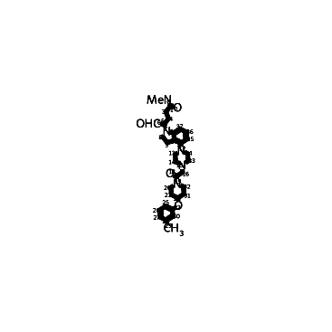 CNC(=O)CCC(C=O)N1CCc2c(N3CCN(CC(=O)N4CCC(Oc5cccc(C)c5)CC4)CC3)cccc21